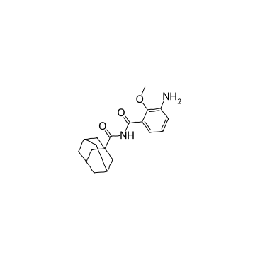 COc1c(N)cccc1C(=O)NC(=O)C12CC3CC(CC(C3)C1)C2